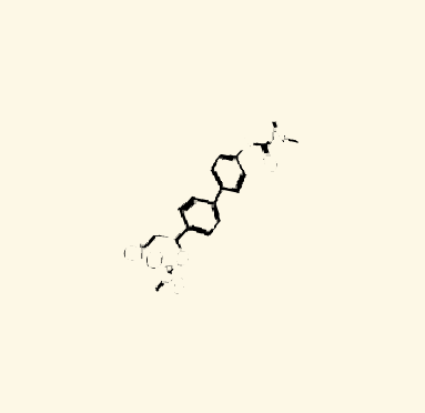 CN(C)C(=O)Sc1ccc(-c2ccc([C@H](CCl)OS(C)(=O)=O)cc2)cc1